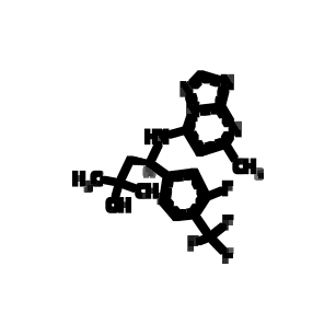 Cc1cc(N[C@H](CC(C)(C)O)c2ccc(C(F)(F)F)c(F)c2)n2ncnc2n1